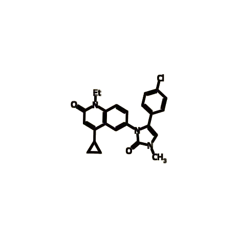 CCn1c(=O)cc(C2CC2)c2cc(-n3c(-c4ccc(Cl)cc4)cn(C)c3=O)ccc21